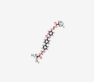 C=C(C)C(=O)OCCOc1ccc(OC(=O)c2ccc(-c3ccc(OCCOC(=O)C(=C)C)cc3)cc2)cc1